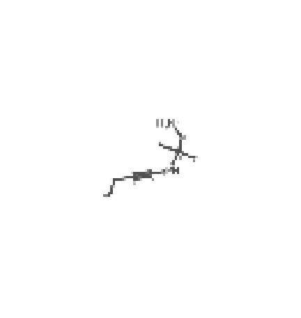 CCC#CPC(C)(C)CN